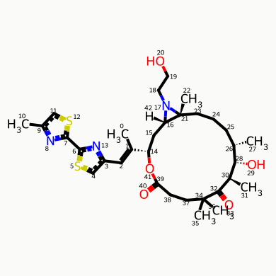 C/C(=C\c1csc(-c2nc(C)cs2)n1)[C@@H]1C[C@@H]2N(CCO)[C@]2(C)CCC[C@H](C)[C@H](O)[C@@H](C)C(=O)C(C)(C)CCC(=O)O1